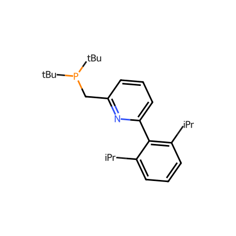 CC(C)c1cccc(C(C)C)c1-c1cccc(CP(C(C)(C)C)C(C)(C)C)n1